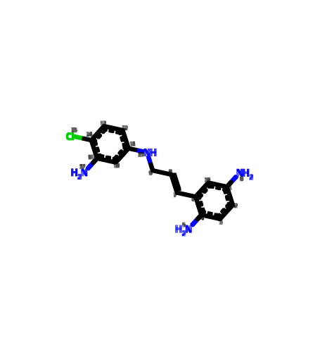 Nc1ccc(N)c(/C=C/CNc2ccc(Cl)c(N)c2)c1